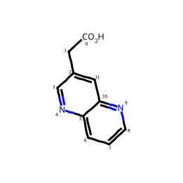 O=C(O)Cc1cnc2cccnc2c1